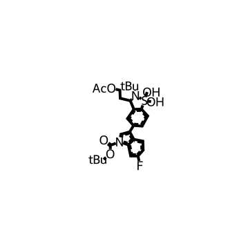 CC(=O)OCCC1c2cc(-c3cn(C(=O)OC(C)(C)C)c4cc(F)ccc34)ccc2S(O)(O)N1C(C)(C)C